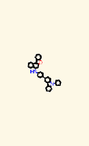 c1ccc(-n2c3ccccc3c3cc(-c4ccc(Nc5cc6oc7ccccc7c6c6ccccc56)cc4)ccc32)cc1